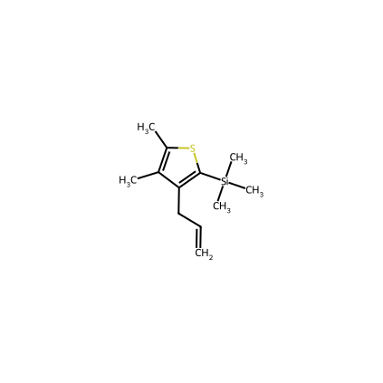 C=CCc1c([Si](C)(C)C)sc(C)c1C